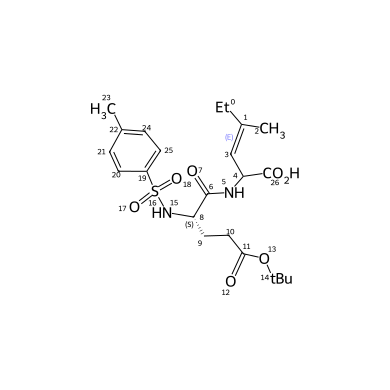 CC/C(C)=C/C(NC(=O)[C@H](CCC(=O)OC(C)(C)C)NS(=O)(=O)c1ccc(C)cc1)C(=O)O